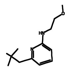 COCCNc1cccc(CC(C)(C)C)n1